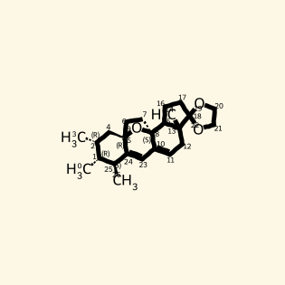 C[C@@H]1[C@H](C)C[C@@]23CC[C@@]4(O2)C(=CCC2(C)C4CCC24OCCO4)C=C3[C@H]1C